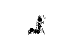 COc1ccc(Nc2ncnc3c(C(=O)Nc4cc(C(=O)Nc5cccc(C(F)(F)F)c5)ccc4C)csc23)cc1